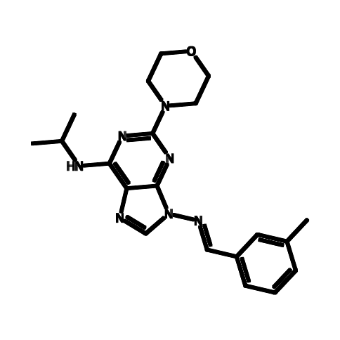 Cc1cccc(/C=N/n2cnc3c(NC(C)C)nc(N4CCOCC4)nc32)c1